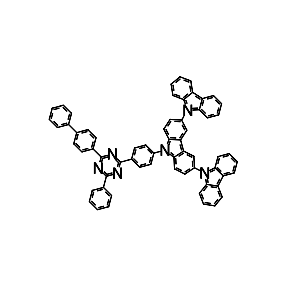 c1ccc(-c2ccc(-c3nc(-c4ccccc4)nc(-c4ccc(-n5c6ccc(-n7c8ccccc8c8ccccc87)cc6c6cc(-n7c8ccccc8c8ccccc87)ccc65)cc4)n3)cc2)cc1